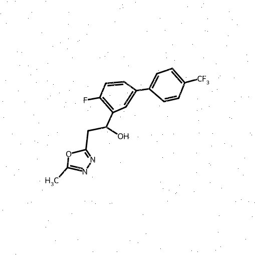 Cc1nnc(CC(O)c2cc(-c3ccc(C(F)(F)F)cc3)ccc2F)o1